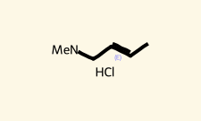 C/C=C/CNC.Cl